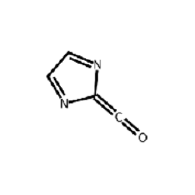 O=C=C1N=CC=N1